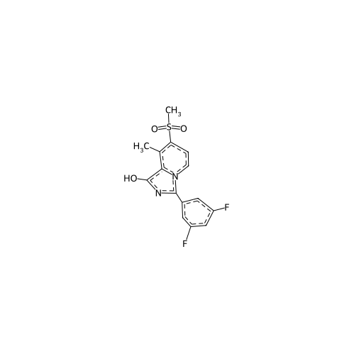 Cc1c(S(C)(=O)=O)ccn2c(-c3cc(F)cc(F)c3)nc(O)c12